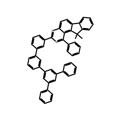 CC1(C)c2ccccc2-c2ccc3nc(-c4cccc(-c5cccc(-c6cc(-c7ccccc7)cc(-c7ccccc7)c6)c5)c4)nc(-c4ccccc4)c3c21